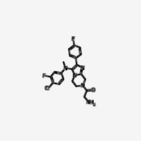 CN(c1ccc(Cl)c(F)c1)c1c(-c2ccc(F)cc2)nc2n1CCN(C(=O)CN)C2